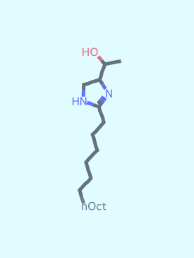 CCCCCCCCCCCCCCC1=NC(C(C)O)CN1